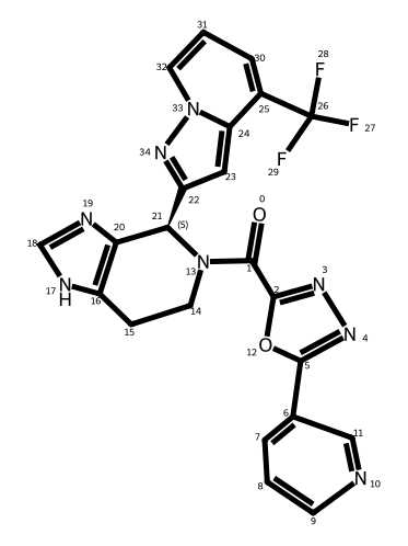 O=C(c1nnc(-c2cccnc2)o1)N1CCc2[nH]cnc2[C@H]1c1cc2c(C(F)(F)F)cccn2n1